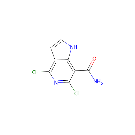 NC(=O)c1c(Cl)nc(Cl)c2cc[nH]c12